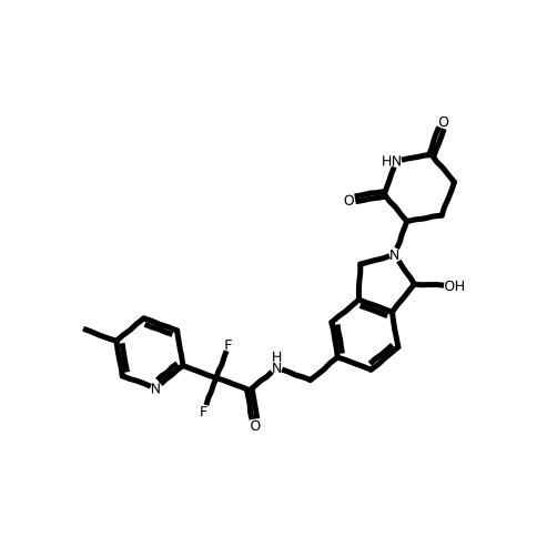 Cc1ccc(C(F)(F)C(=O)NCc2ccc3c(c2)CN(C2CCC(=O)NC2=O)C3O)nc1